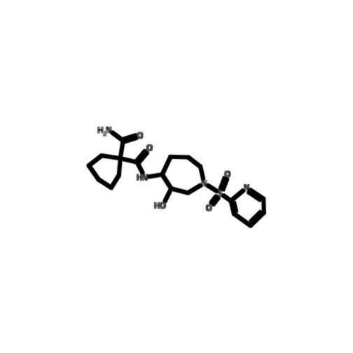 NC(=O)C1(C(=O)NC2CCCN(S(=O)(=O)c3ccccn3)CC2O)CCCCC1